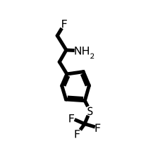 NC(CF)Cc1ccc(SC(F)(F)F)cc1